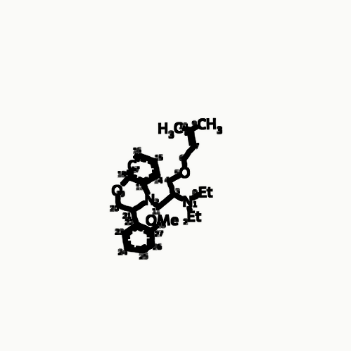 CCN(CC)C(COCC=C(C)C)CN1c2ccccc2OCC1c1ccccc1OC